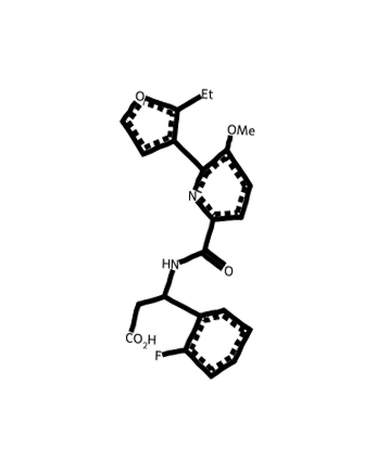 CCc1occc1-c1nc(C(=O)NC(CC(=O)O)c2ccccc2F)ccc1OC